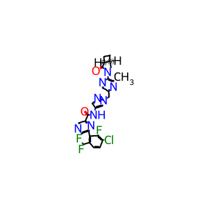 Cc1nc(Cn2cc(NC(=O)c3cncc(-c4c(C(F)F)ccc(Cl)c4F)n3)cn2)cnc1N1C[C@H]2CC[C@H]2C1=O